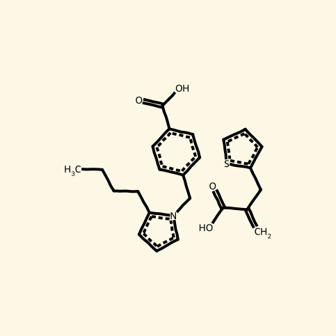 C=C(Cc1cccs1)C(=O)O.CCCCc1cccn1Cc1ccc(C(=O)O)cc1